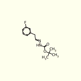 CC(C)(C)OC(=O)N/N=C/Cc1cccc(F)c1